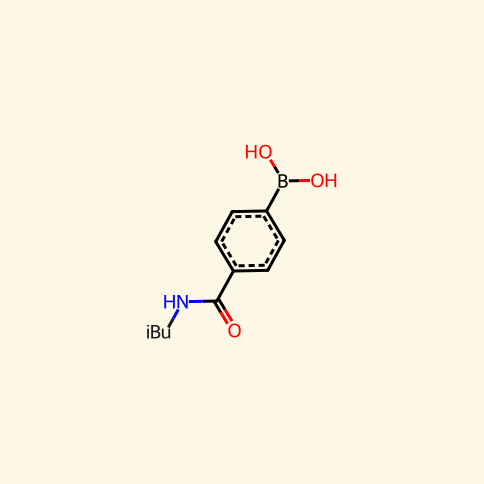 CCC(C)NC(=O)c1ccc(B(O)O)cc1